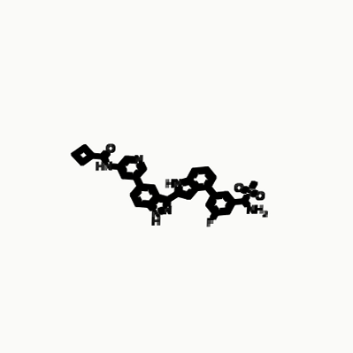 CS(=O)(=O)C(N)c1cc(F)cc(-c2cccc3[nH]c(-c4n[nH]c5ccc(-c6cncc(NC(=O)C7CCC7)c6)cc45)cc23)c1